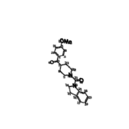 COc1ccc(C(=O)C2CCN(C(=O)N3CCc4ccccc43)CC2)cc1